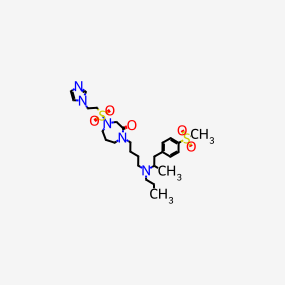 CCCN(CCCCN1CCCN(S(=O)(=O)CCn2ccnc2)CC1=O)C(C)Cc1ccc(S(C)(=O)=O)cc1